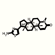 CN1C(=O)C=C[C@@]2(C)C1CC[C@@H]1[C@H]2CC[C@]2(C)C(c3csc(N)n3)CC[C@@H]12